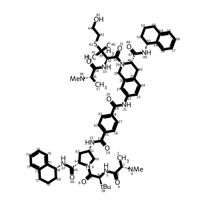 CN[C@@H](C)C(=O)N[C@H](C(=O)N1C[C@@H](NC(=O)c2ccc(C(=O)Nc3ccc4c(c3)CN(C(=O)[C@@H](NC(=O)[C@H](C)NC)C(C)(C)SCCO)[C@H](C(=O)N[C@@H]3CCCc5ccccc53)C4)cc2)C[C@H]1C(=O)N[C@@H]1CCCc2ccccc21)C(C)(C)C